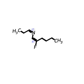 CC/C=N\C=C(\F)CCCC